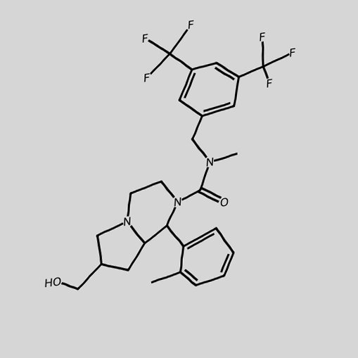 Cc1ccccc1C1C2CC(CO)CN2CCN1C(=O)N(C)Cc1cc(C(F)(F)F)cc(C(F)(F)F)c1